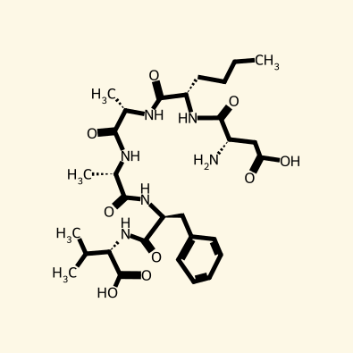 CCCC[C@H](NC(=O)[C@@H](N)CC(=O)O)C(=O)N[C@@H](C)C(=O)N[C@@H](C)C(=O)N[C@@H](Cc1ccccc1)C(=O)N[C@H](C(=O)O)C(C)C